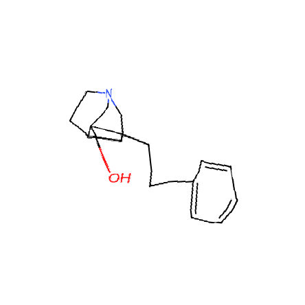 OC1(CCc2ccccc2)CN2CCC1CC2